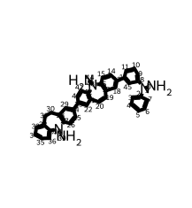 NN(c1ccccc1)c1cccc(-c2ccc3c(c2)C=Cc2cc(-c4ccc5c(c4)CCc4ccccc4N5N)ccc2N3N)c1